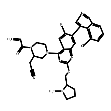 C=CC(=O)N1CCN(c2nc(OCC3CCCN3C)nc3cc(-c4cncc5cccc(Cl)c45)c(F)cc23)CC1CC#N